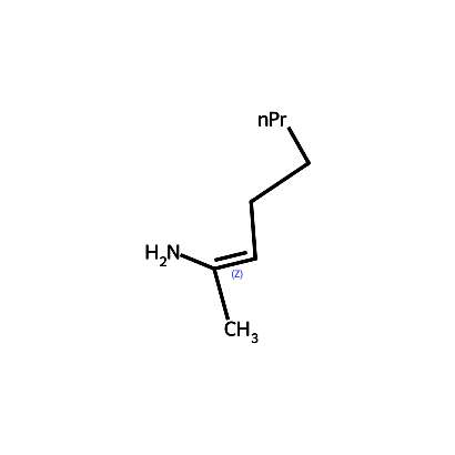 CCCCC/C=C(/C)N